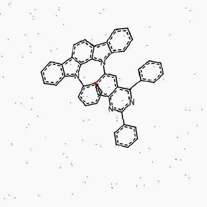 c1ccc(-c2nc(-c3ccccc3)c3cc(-n4c5ccccc5c5ccc6c7ccccc7n(-c7ccccc7)c6c54)ccc3n2)cc1